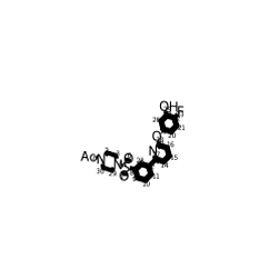 CC(=O)N1CCN(S(=O)(=O)c2cccc(-c3cccc(Oc4ccc(F)c(O)c4)n3)c2)CC1